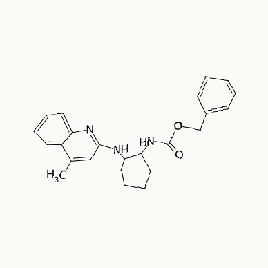 Cc1cc(NC2CCCCC2NC(=O)OCc2ccccc2)nc2ccccc12